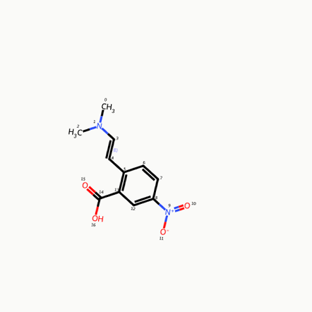 CN(C)/C=C/c1ccc([N+](=O)[O-])cc1C(=O)O